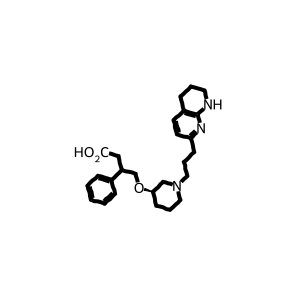 O=C(O)CC(CO[C@@H]1CCCN(CCCc2ccc3c(n2)NCCC3)C1)c1ccccc1